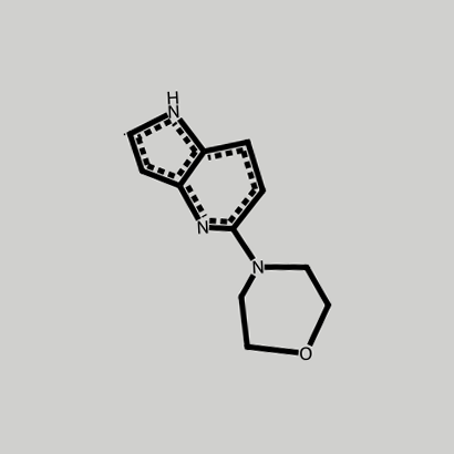 [c]1cc2nc(N3CCOCC3)ccc2[nH]1